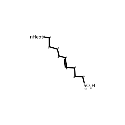 CCCCCCCCCCCC=CCCCS(=O)(=O)O